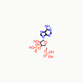 Nc1ncnc2c1ncn2[C@@H]1O[C@H](COP(=O)(O)O)C(OP(=O)(O)O)C1O